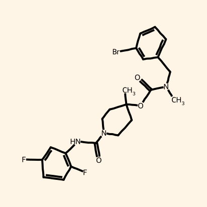 CN(Cc1cccc(Br)c1)C(=O)OC1(C)CCN(C(=O)Nc2cc(F)ccc2F)CC1